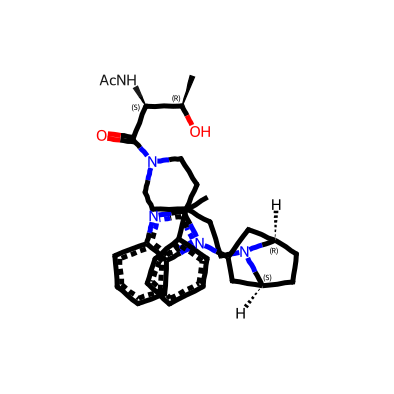 CC(=O)N[C@H](C(=O)N1CCC(CCN2[C@@H]3CC[C@H]2CC(n2c(C)nc4ccccc42)C3)(c2ccccc2)CC1)[C@@H](C)O